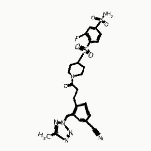 Cc1nnn(Cc2cc(C#N)ccc2CCC(=O)N2CCC(S(=O)(=O)c3ccc(S(N)(=O)=O)cc3F)CC2)n1